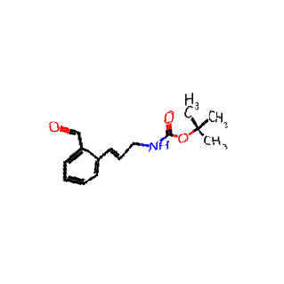 CC(C)(C)OC(=O)NC/C=C/c1ccccc1C=O